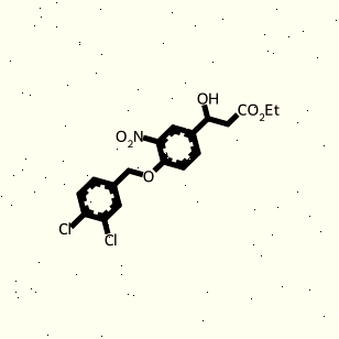 CCOC(=O)CC(O)c1ccc(OCc2ccc(Cl)c(Cl)c2)c([N+](=O)[O-])c1